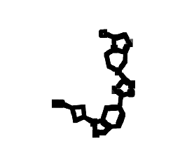 O[C@H]1C[C@@H](n2ncc3ccc(-c4nc(N5CCn6c(Cl)cnc6C5)no4)cc32)C1